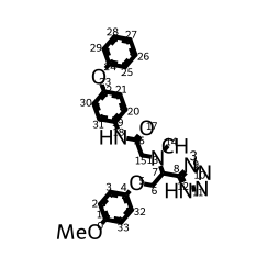 COc1ccc(OCC(c2nnn[nH]2)N(C)CC(=O)Nc2ccc(Oc3ccccc3)cc2)cc1